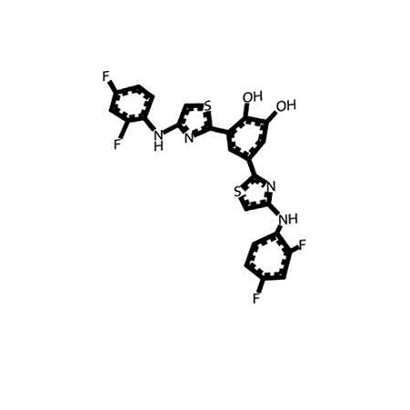 Oc1cc(-c2nc(Nc3ccc(F)cc3F)cs2)cc(-c2nc(Nc3ccc(F)cc3F)cs2)c1O